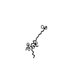 CCCCCCC(CC(CCCCCCCCC(=O)OC)S(=O)(=O)CC)S(=O)(=O)CC